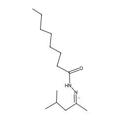 CCCCCCCC(=O)N/N=C(/C)CC(C)C